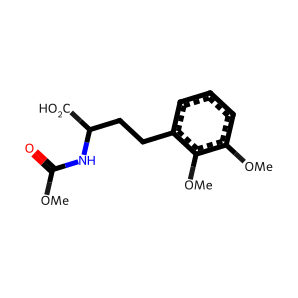 COC(=O)NC(CCc1cccc(OC)c1OC)C(=O)O